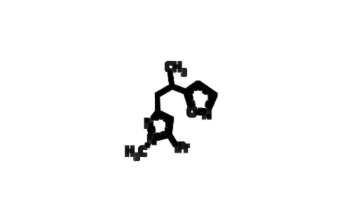 CC(C)c1cc(CC(C)c2ccno2)nn1C